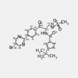 CC(C)(C)c1ccc(C(=O)NC(CNS(C)(=O)=O)C(=O)c2ccc(-c3ncc(Br)cn3)cc2)s1